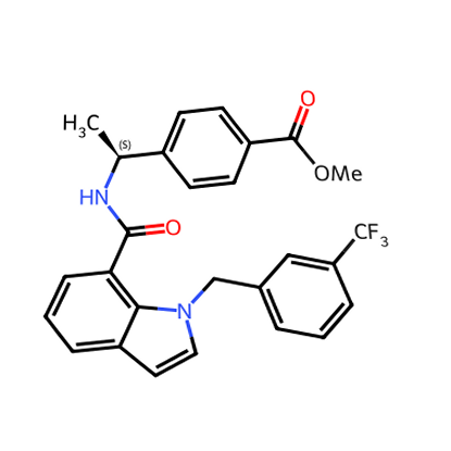 COC(=O)c1ccc([C@H](C)NC(=O)c2cccc3ccn(Cc4cccc(C(F)(F)F)c4)c23)cc1